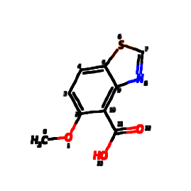 COc1ccc2scnc2c1C(=O)O